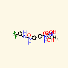 C[C@@H](O)[C@H](NC(=O)c1ccc(-c2ccc(NC(=O)CNCc3cccc(C(F)(F)F)c3)cc2)cc1)C(=O)NO